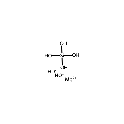 O[Si](O)(O)O.[Mg+2].[OH-].[OH-]